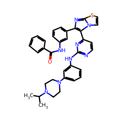 CC(C)N1CCN(c2cccc(Nc3nccc(-c4c(-c5cccc(NC(=O)c6ccccc6)c5)nc5sccn45)n3)c2)CC1